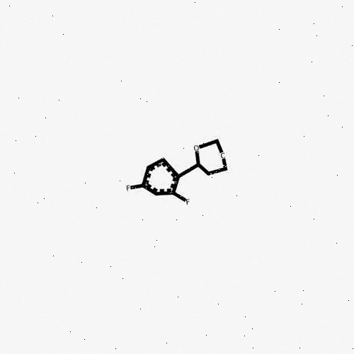 Fc1ccc(C2CCCCO2)c(F)c1